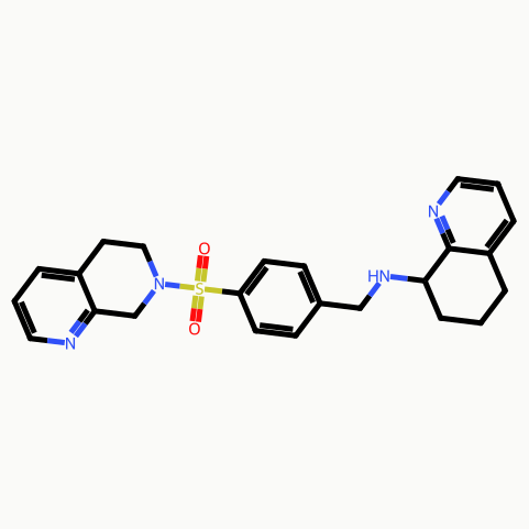 O=S(=O)(c1ccc(CNC2CCCc3cccnc32)cc1)N1CCc2cccnc2C1